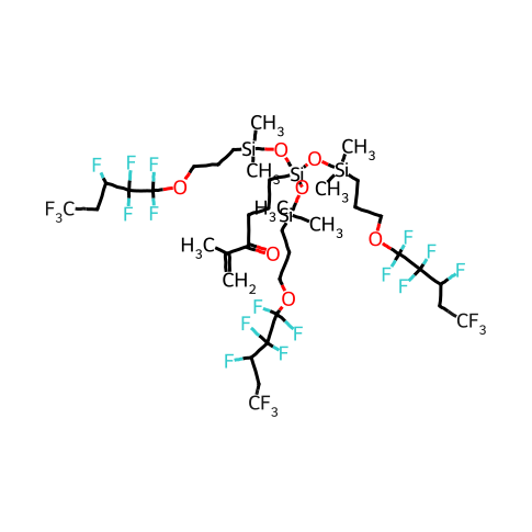 C=C(C)C(=O)CCC[Si](O[Si](C)(C)CCCOC(F)(F)C(F)(F)C(F)CC(F)(F)F)(O[Si](C)(C)CCCOC(F)(F)C(F)(F)C(F)CC(F)(F)F)O[Si](C)(C)CCCOC(F)(F)C(F)(F)C(F)CC(F)(F)F